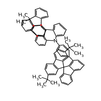 CC(C)(C)c1ccc2c(c1)C1(c3cc(C(C)(C)C)ccc3-2)c2ccccc2-c2cccc(-c3ccc(N(c4ccccc4-c4cccc5c4-c4ccccc4C5(C)C)c4cccc5c4ccc4ccccc45)cc3)c21